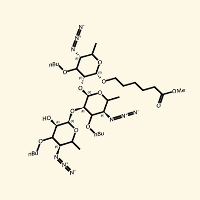 CCCCOC1[C@H](N=[N+]=[N-])C(C)O[C@H](O[C@@H]2C(OCCCC)[C@H](N=[N+]=[N-])C(C)O[C@@H]2O[C@@H]2C(OCCCC)[C@H](N=[N+]=[N-])C(C)O[C@@H]2OCCCCCC(=O)OC)[C@@H]1O